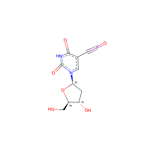 O=P#Cc1cn([C@H]2C[C@H](O)[C@@H](CO)O2)c(=O)[nH]c1=O